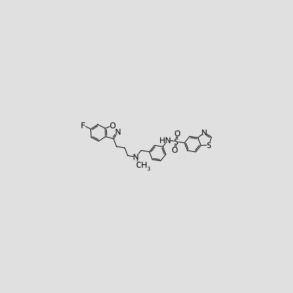 CN(CCCc1noc2cc(F)ccc12)Cc1cccc(NS(=O)(=O)c2ccc3scnc3c2)c1